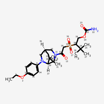 CCOc1ccc(N2C[C@H]3CN(C(=O)CS(=O)(=O)C(COC(N)=O)C(C)(C)C)C[C@@H]2C(C)(C)C3)cc1